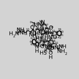 CCCC[C@H](NC(=O)[C@@H](N)CCCNC(=N)N)C(=O)N[C@@H](CS)C(=O)N[C@@H](Cc1c[nH]cn1)C(=O)N[C@H](Cc1ccccc1)C(=O)N[C@@H](CC(Br)CNC(=N)N)C(=O)N[C@@H](Cc1c[nH]c2ccccc12)C(=O)N[C@@H](CS)C(=O)O